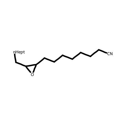 CCCCCCCCC1OC1CCCCCCCC#N